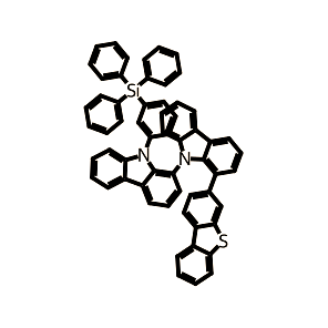 c1ccc([Si](c2ccccc2)(c2ccccc2)c2cccc(-n3c4ccccc4c4cccc(-n5c6ccccc6c6cccc(-c7ccc8c(c7)sc7ccccc78)c65)c43)c2)cc1